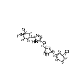 O=c1cc(-c2nnc(OCc3cc(-c4cccc(Cl)c4)on3)[nH]2)cc[nH]1